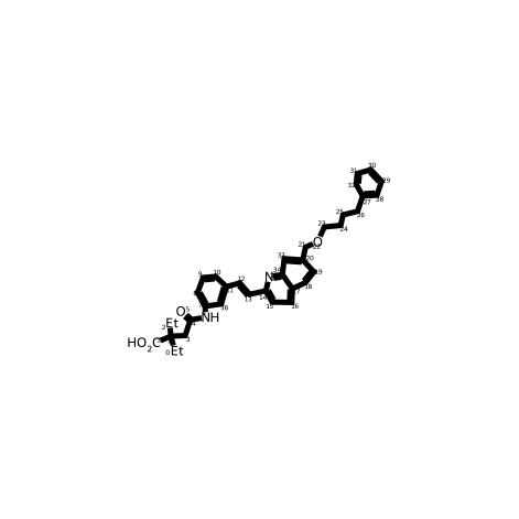 CCC(CC)(CC(=O)Nc1cccc(C=Cc2ccc3ccc(COCCCCc4ccccc4)cc3n2)c1)C(=O)O